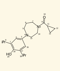 CC(C)c1cc(N2CCCN(C(=O)C3CC3)CC2)cc(C(C)C)c1O